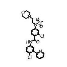 CS(=O)(=O)N(CCN1CCOCC1)c1ccc(C(=O)Nc2ccc(Cl)c(-c3ccccn3)c2)c(Cl)c1